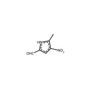 Cc1[nH]c(C=O)cc1[N+](=O)[O-]